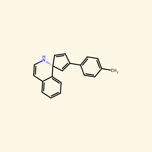 Cc1ccc(C2=C[C@@]3(C=C2)NC=Cc2ccccc23)cc1